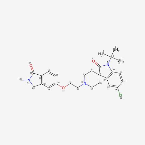 BC(B)(B)N1C(=O)C2(CCN(CCOc3ccc4c(c3)CN(C)C4=O)CC2)c2cc(Cl)ccc21